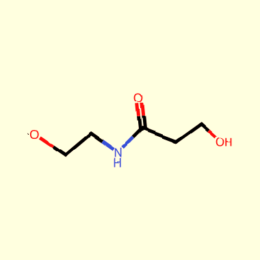 [O]CCNC(=O)CCO